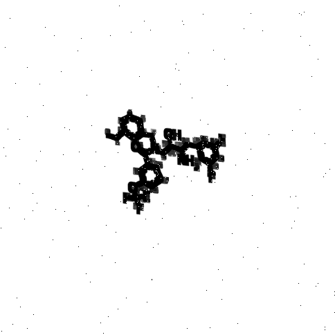 CCc1cccc(CN(C[C@@H](O)[C@@H](N)Cc2cc(F)cc(F)c2)C(=O)c2cccc(OC(F)(F)F)c2)c1